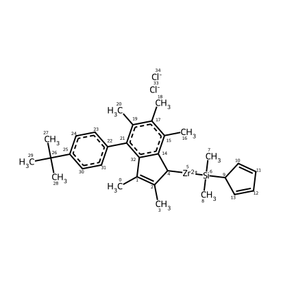 CC1=C(C)[CH]([Zr+2][Si](C)(C)C2C=CC=C2)c2c(C)c(C)c(C)c(-c3ccc(C(C)(C)C)cc3)c21.[Cl-].[Cl-]